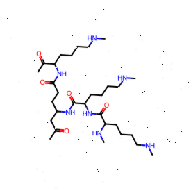 CNCCCCC(NC(=O)CCC(CC(C)=O)NC(=O)C(CCCCNC)NC(=O)C(CCCCNC)NC)C(C)=O